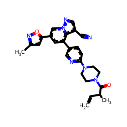 C=CC(C)C(=O)N1CCN(c2ccc(-c3cc(-c4cc(C)no4)cn4ncc(C#N)c34)cn2)CC1